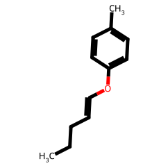 CCC/C=C/Oc1ccc(C)cc1